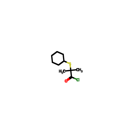 CC(C)(SC1CCCCC1)C(=O)Cl